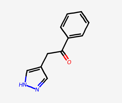 O=C(Cc1cn[nH]c1)c1ccccc1